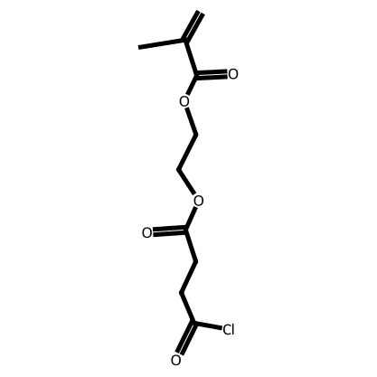 C=C(C)C(=O)OCCOC(=O)CCC(=O)Cl